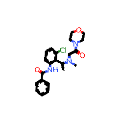 CC(c1c(Cl)cccc1NC(=O)c1ccccc1)N(C)CC(=O)N1CCOCC1